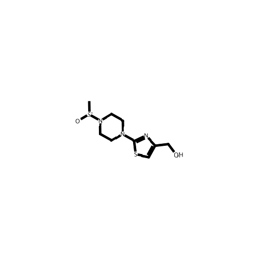 C[S+]([O-])N1CCN(c2nc(CO)cs2)CC1